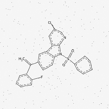 C=C(c1ccc2c(c1)c1cc(Cl)cnc1n2S(=O)(=O)c1ccccc1)c1ccccc1F